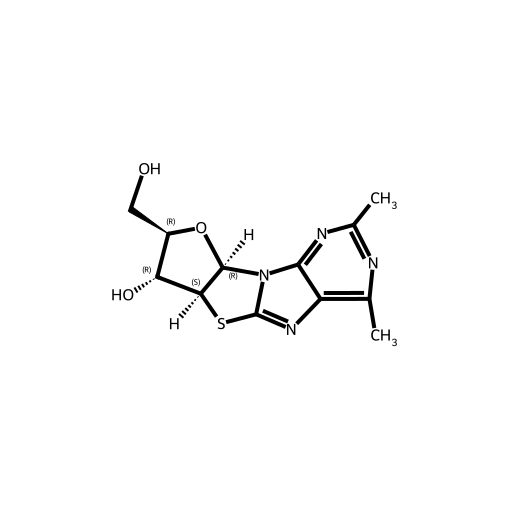 Cc1nc(C)c2nc3n(c2n1)[C@@H]1O[C@H](CO)[C@@H](O)[C@@H]1S3